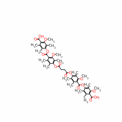 COc1c(C)c(OC(=O)c2c(C)c(C)c(OC(=O)CCC(=O)Oc3c(C)c(C)c(C(=O)Oc4c(C)c(C)c(C(=O)O)c(OC)c4C)c(OC)c3C)c(C)c2OC)c(C)c(C)c1C(=O)O